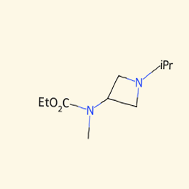 CCOC(=O)N(C)C1CN(C(C)C)C1